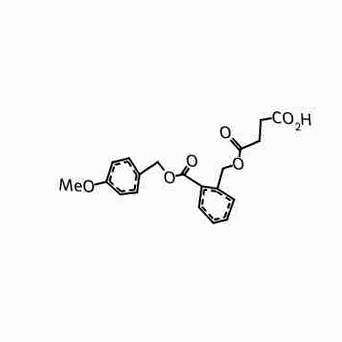 COc1ccc(COC(=O)c2ccccc2COC(=O)CCC(=O)O)cc1